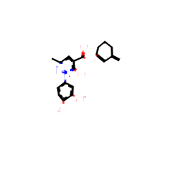 C=C1C=C(OC(=O)c2cc(C)nn(-c3ccc(OC)c(OC)c3)c2=O)CCC1